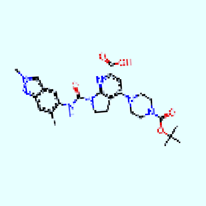 Cc1cc2nn(C)cc2cc1NC(=O)N1CCc2c(N3CCN(C(=O)OC(C)(C)C)CC3)ccnc21.O=CO